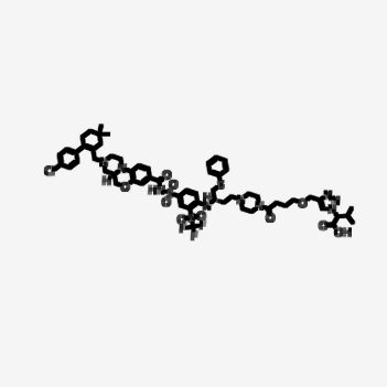 CC(C)C(C(=O)O)n1cc(COCCCC(=O)N2CCN(CC[C@H](CSc3ccccc3)Nc3ccc(S(=O)(=O)NC(=O)c4ccc5c(c4)OC[C@@H]4CN(CC6=C(c7ccc(Cl)cc7)CCC(C)(C)C6)CCN54)cc3S(=O)(=O)C(F)(F)F)CC2)nn1